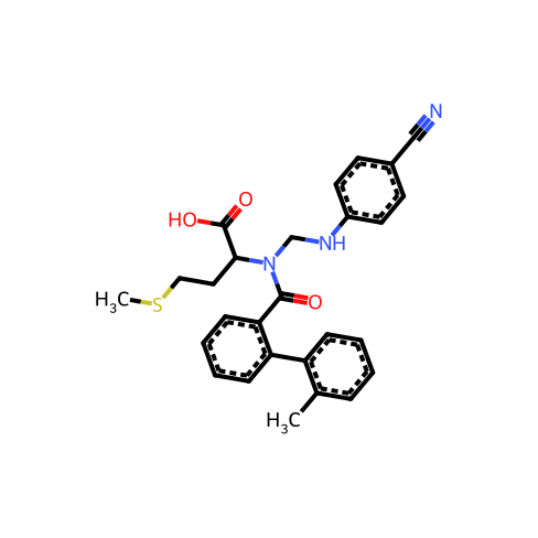 CSCCC(C(=O)O)N(CNc1ccc(C#N)cc1)C(=O)c1ccccc1-c1ccccc1C